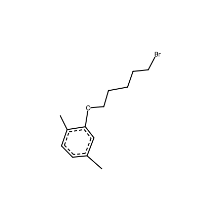 Cc1ccc(C)c(OCCCCCBr)c1